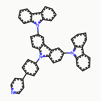 c1ccc2c(c1)c1ccccc1n2-c1ccc2c(c1)c1cc(-n3c4ccccc4c4ccccc43)ccc1n2-c1ccc(-c2ccncc2)cc1